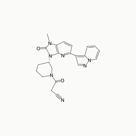 Cn1c(=O)n([C@H]2CCCN(C(=O)CC#N)C2)c2nc(-c3cnn4ccccc34)ccc21